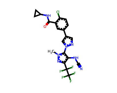 Cn1nc(C(F)(F)C(F)(F)F)c(NC#N)c1-n1cc(-c2ccc(Cl)c(C(=O)NC3CC3)c2)cn1